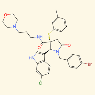 Cc1cccc(S[C@@]2(C(=O)NCCCN3CCOCC3)CC(=O)N(Cc3ccc(Br)cc3)[C@H]2c2c[nH]c3cc(Cl)ccc23)c1